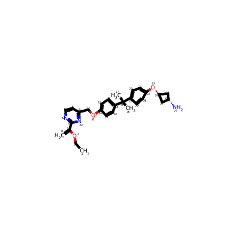 C=C(OCC)c1nccc(COc2ccc(C(C)(C)c3ccc(O[C@H]4C[C@@H](N)C4)cc3)cc2)n1